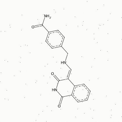 NC(=O)c1ccc(CNC=C2C(=O)NC(=O)c3ccccc32)cc1